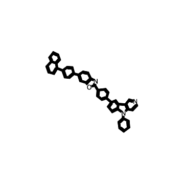 c1ccc(-n2c3ccncc3c3cc(-c4ccc(-c5nc6ccc(-c7ccc(-c8cccc9ccccc89)cc7)cc6o5)cc4)ccc32)cc1